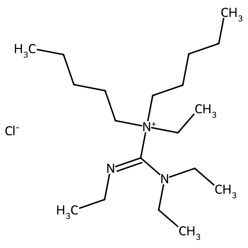 CCCCC[N+](CC)(CCCCC)C(=NCC)N(CC)CC.[Cl-]